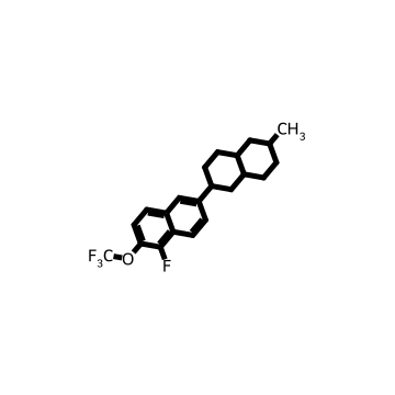 CC1CCC2CC(c3ccc4c(F)c(OC(F)(F)F)ccc4c3)CCC2C1